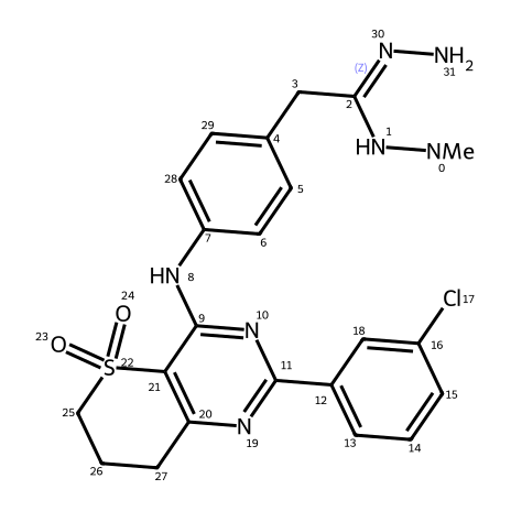 CNN/C(Cc1ccc(Nc2nc(-c3cccc(Cl)c3)nc3c2S(=O)(=O)CCC3)cc1)=N\N